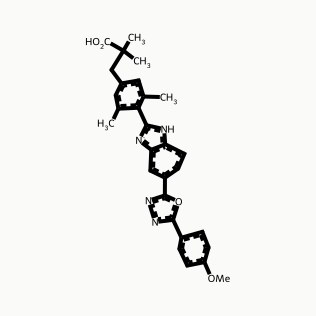 COc1ccc(-c2nnc(-c3ccc4[nH]c(-c5c(C)cc(CC(C)(C)C(=O)O)cc5C)nc4c3)o2)cc1